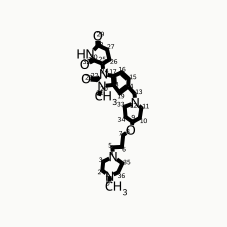 CN1CCN(CCCOC2CCN(Cc3ccc4c(c3)n(C)c(=O)n4C3CCC(=O)NC3=O)CC2)CC1